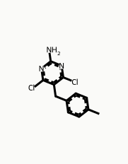 Cc1ccc(Cc2c(Cl)nc(N)nc2Cl)cc1